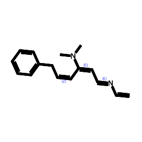 C=C/N=C/C=C(\C=C/Cc1ccccc1)N(C)C